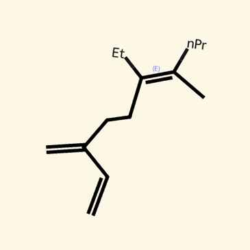 C=CC(=C)CC/C(CC)=C(\C)CCC